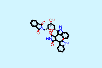 Cc1[nH]c2ccccc2c1C1=C(c2c([C@H]3C[C@H](O)C[C@@H](CN4C(=O)c5ccccc5C4=O)O3)[nH]c3ccccc23)C(=O)NC1=O